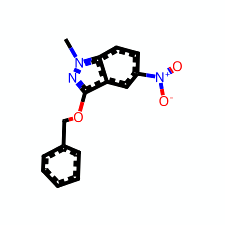 Cn1nc(OCc2ccccc2)c2cc([N+](=O)[O-])ccc21